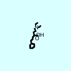 CCN(CC)CCCC(=CC=Cc1ccccc1)C(=O)O